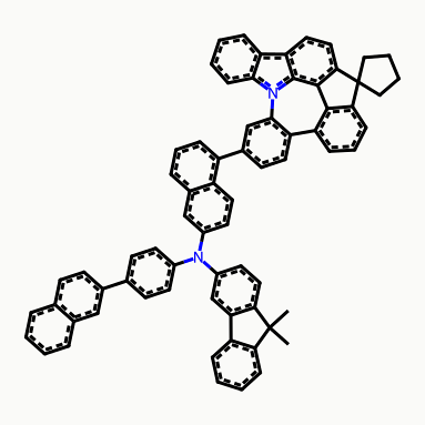 CC1(C)c2ccccc2-c2cc(N(c3ccc(-c4ccc5ccccc5c4)cc3)c3ccc4c(-c5ccc6c(c5)-n5c7ccccc7c7ccc8c(c75)-c5c-6cccc5C85CCCC5)cccc4c3)ccc21